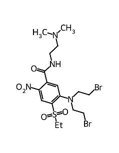 CCS(=O)(=O)c1cc([N+](=O)[O-])c(C(=O)NCCN(C)C)cc1N(CCBr)CCBr